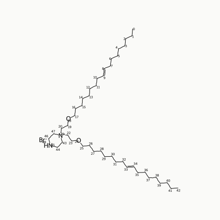 CCCCCCCCC=CCCCCCCCCOCC[N+]1(CCOCCCCCCCCC=CCCCCCCCC)CCNCC1.[Br-]